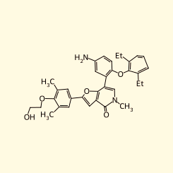 CCc1cccc(CC)c1Oc1ccc(N)cc1-c1cn(C)c(=O)c2cc(-c3cc(C)c(OCCO)c(C)c3)oc12